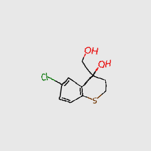 OCC1(O)CCSc2ccc(Cl)cc21